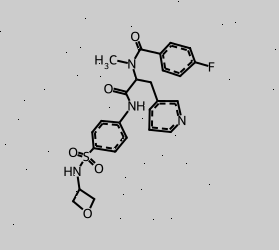 CN(C(=O)c1ccc(F)cc1)C(Cc1cccnc1)C(=O)Nc1ccc(S(=O)(=O)NC2COC2)cc1